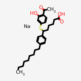 CCCCCCCCCc1ccc(C(CCCCC(=O)O)Sc2ccc(C(C)=O)c(O)c2)cc1.[Na]